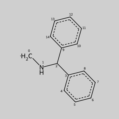 [CH2]NC(c1ccccc1)c1ccccc1